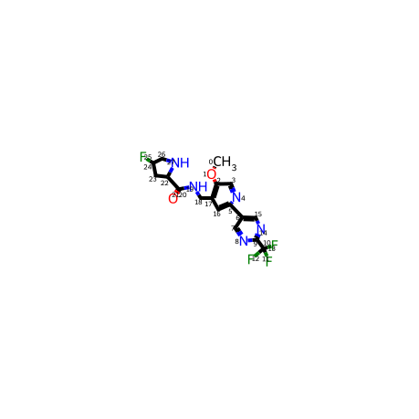 COc1cnc(-c2cnc(C(F)(F)F)nc2)cc1CNC(=O)C1CC(F)CN1